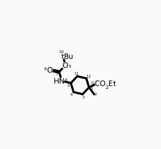 CCOC(=O)C1(C)CCC(NC(=O)OC(C)(C)C)CC1